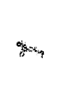 O=C(NCC(=O)N1CCN(c2cc(C3(C(F)F)Nc4ccccc4N3)nc(N3CCOCC3)n2)CC1)C1CCCN1